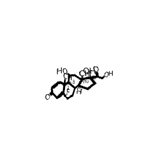 CC12C=CC(=O)C=C1CCC1[C@@H]3CC[C@](O)(C(=O)CO)[C@@]3(C)CC(O)[C@@]12F